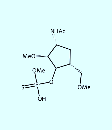 COC[C@H]1C[C@@H](NC(C)=O)[C@@H](OC)C1OP(O)(=S)OC